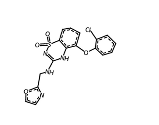 O=S1(=O)N=C(NCc2ncco2)Nc2c(Oc3ccccc3Cl)cccc21